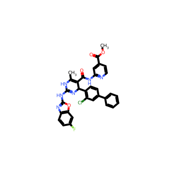 COC(=O)c1ccnc(NC(=O)C2=C(C)NC(Nc3nc4ccc(F)cc4o3)=NC2c2ccc(-c3ccccc3)cc2Cl)c1